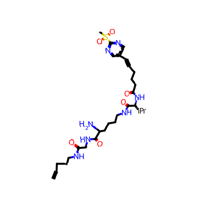 C#CCCCNC(=O)CNC(=O)C(N)CCCCNC(=O)C(NC(=O)CCCC#Cc1cnc(S(C)(=O)=O)nc1)C(C)C